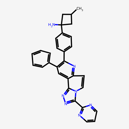 CC1CC(N)(c2ccc(-c3nc4ccn5c(-c6ncccn6)nnc5c4cc3-c3ccccc3)cc2)C1